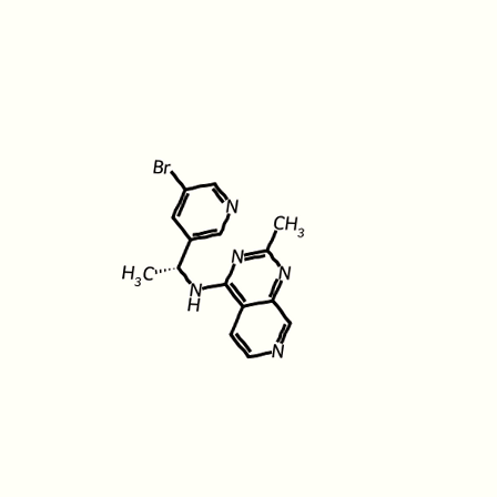 Cc1nc(N[C@H](C)c2cncc(Br)c2)c2ccncc2n1